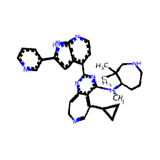 CN(c1nc(-c2ccnc3[nH]c(-c4cccnc4)cc23)nc2c1=C(C1CC1)C=NCC=2)C1CCCNCC1(C)C